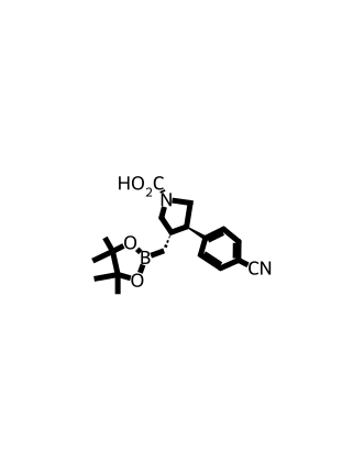 CC1(C)OB(C[C@@H]2CN(C(=O)O)C[C@H]2c2ccc(C#N)cc2)OC1(C)C